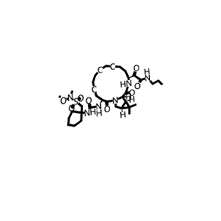 CCCNC(=O)C(=O)[C@@H]1CCCCCCCCC[C@H](NC(=O)NC2(CS(=O)(=O)N(C)OC)CCCCC2)C(=O)N2C[C@H]3[C@@H]([C@H]2C(=O)N1)C3(C)C